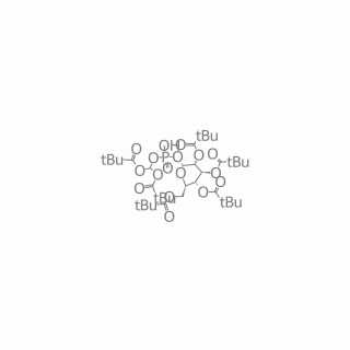 CC(C)(C)C(=O)OC[C@H]1O[C@H](OP(=O)(O)OC(OC(=O)C(C)(C)C)OC(=O)C(C)(C)C)[C@@H](OC(=O)C(C)(C)C)[C@@H](OC(=O)C(C)(C)C)[C@@H]1OC(=O)C(C)(C)C